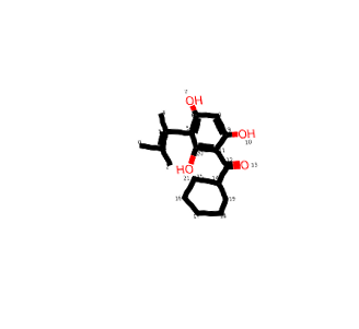 CC(C)=C(C)c1c(O)cc(O)c(C(=O)C2CCCCC2)c1O